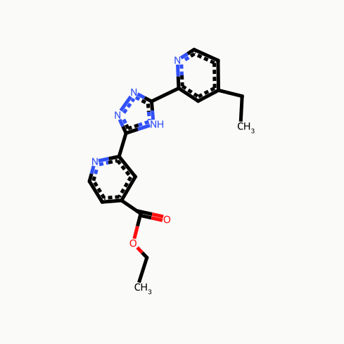 CCOC(=O)c1ccnc(-c2nnc(-c3cc(CC)ccn3)[nH]2)c1